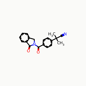 CC(C)(C#N)c1ccc(C(=O)N2Cc3ccccc3C2=O)cc1